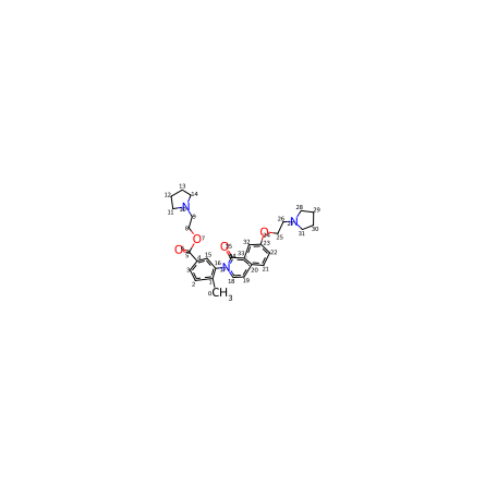 Cc1ccc(C(=O)OCCN2CCCC2)cc1-n1ccc2ccc(OCCN3CCCC3)cc2c1=O